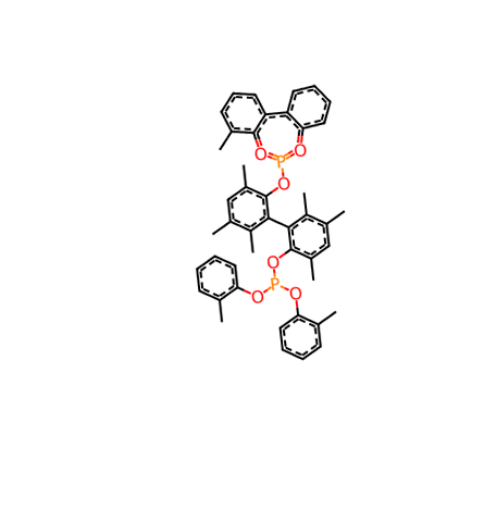 Cc1ccccc1OP(Oc1ccccc1C)Oc1c(C)cc(C)c(C)c1-c1c(C)c(C)cc(C)c1Op1oc2ccccc2c2cccc(C)c2o1